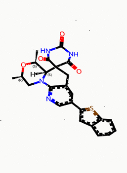 C[C@@H]1CN2c3ncc(-c4cc5ccccc5s4)cc3CC3(C(=O)NC(=O)NC3=O)[C@H]2[C@H](C)O1